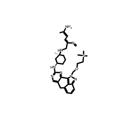 C=N/C(=C\C=C(/C)N)CN[C@@]1(C)CCC[C@@H](Nc2ncc3c(n2)-c2c4c(cccc4nn2COCC[Si](C)(C)C)C3)C1